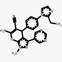 CCc1nccn1-c1ccc(C2C(C#N)=C(N)Oc3c2c(-c2cncnc2)nn3C)cc1